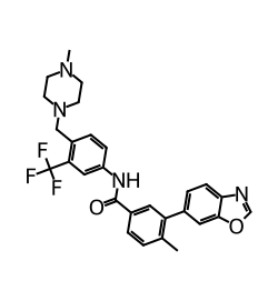 Cc1ccc(C(=O)Nc2ccc(CN3CCN(C)CC3)c(C(F)(F)F)c2)cc1-c1ccc2ncoc2c1